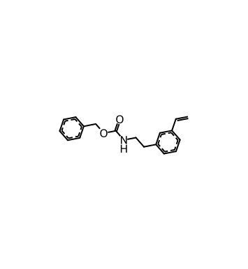 C=Cc1cccc(CCNC(=O)OCc2ccccc2)c1